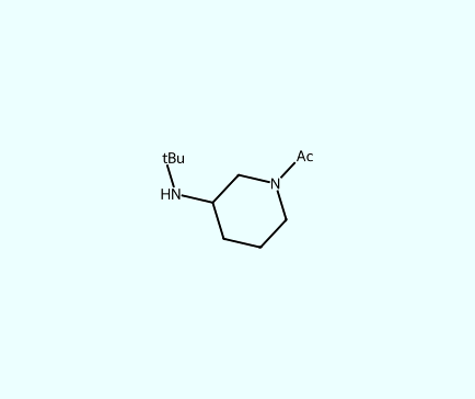 CC(=O)N1CCCC(NC(C)(C)C)C1